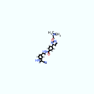 CN(C)CCOc1nccc(-c2ccc(C(=O)NCCc3ccc4[nH]cc(C#N)c4c3)cc2)n1